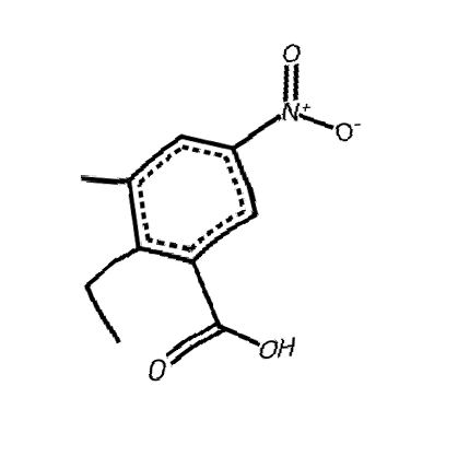 CCc1c(C)cc([N+](=O)[O-])cc1C(=O)O